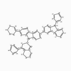 C1=CC2=NC(n3c4ccc(-c5ccc6c(c5)c5ccccc5n6-c5ccccc5)cc4c4ccc(C5=CCCCC5)cc43)CC(c3ccccc3)=C2CC1